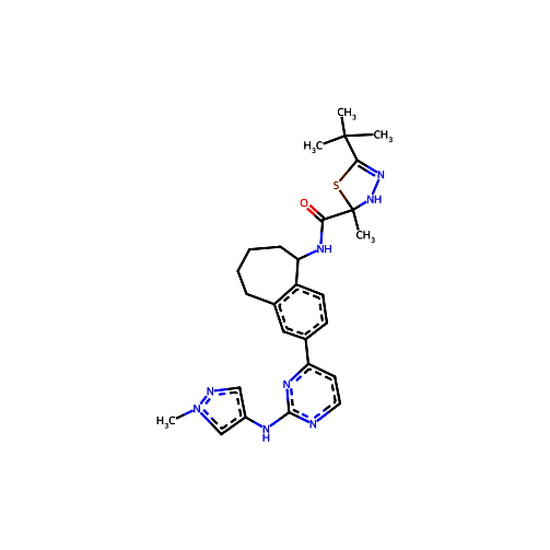 Cn1cc(Nc2nccc(-c3ccc4c(c3)CCCCC4NC(=O)C3(C)NN=C(C(C)(C)C)S3)n2)cn1